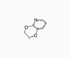 [C]1COc2ncccc2O1